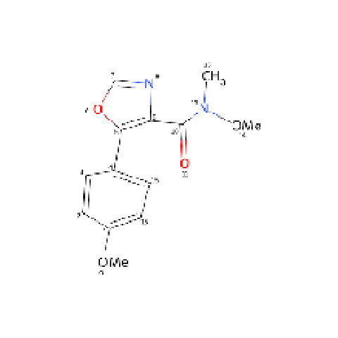 COc1ccc(-c2ocnc2C(=O)N(C)OC)cc1